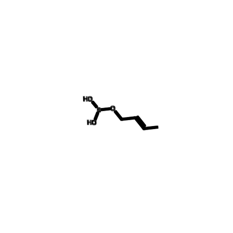 CC=CCOB(O)O